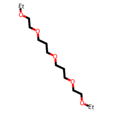 CCOCCOCCCOCCCOCCOCC